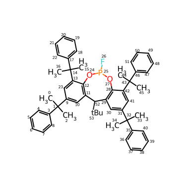 CC(C)(c1ccccc1)c1cc2c(c(C(C)(C)c3ccccc3)c1)OP(F)Oc1c(cc(C(C)(C)c3ccccc3)cc1C(C)(C)c1ccccc1)C2C(C)(C)C